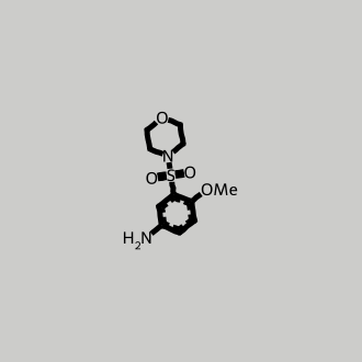 COc1ccc(N)cc1S(=O)(=O)N1CCOCC1